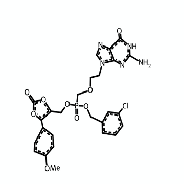 COc1ccc(-c2oc(=O)oc2COP(=O)(COCCn2cnc3c(=O)[nH]c(N)nc32)OCc2cccc(Cl)c2)cc1